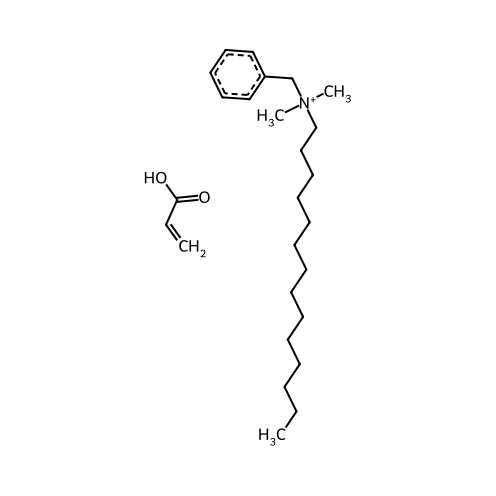 C=CC(=O)O.CCCCCCCCCCCCCC[N+](C)(C)Cc1ccccc1